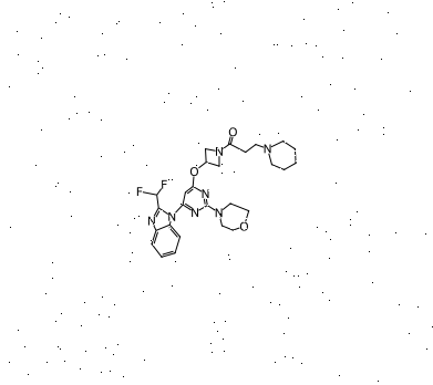 O=C(CCN1CCCCC1)N1CC(Oc2cc(-n3c(C(F)F)nc4ccccc43)nc(N3CCOCC3)n2)C1